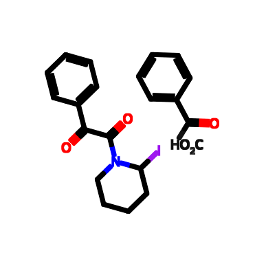 O=C(C(=O)N1CCCCC1I)c1ccccc1.O=C(O)C(=O)c1ccccc1